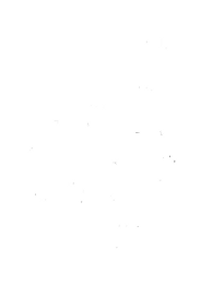 CCOC(=O)C1=C(C)NC(C)=C(C(=O)OC)C1c1cccc(Cl)c1Br